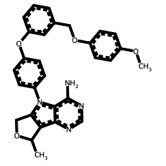 COc1ccc(OCc2cccc(Oc3ccc(-n4c5c(c6ncnc(N)c64)C(C)OC5)cc3)c2)cc1